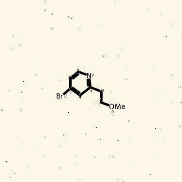 COC[CH]c1cc(Br)ccn1